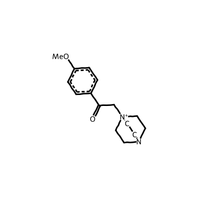 COc1ccc(C(=O)C[N+]23CCN(CC2)CC3)cc1